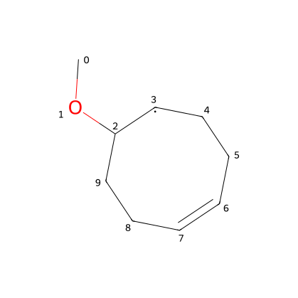 COC1[CH]CC/C=C\CC1